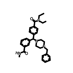 CCN(CC)C(=O)c1ccc(C(c2cccc(C(=O)NC)c2)N2CCN(Cc3ccccc3)CC2)cc1